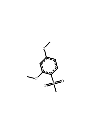 COc1ccc(S(C)(=O)=O)c(OC)c1